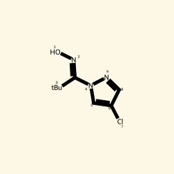 CC(C)(C)/C(=N\O)n1cc(Cl)cn1